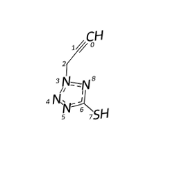 C#CCn1nnc(S)n1